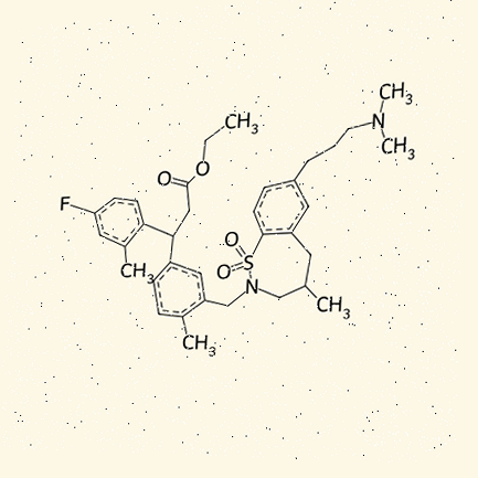 CCOC(=O)CC(c1ccc(C)c(CN2CC(C)Cc3cc(CCCN(C)C)ccc3S2(=O)=O)c1)c1ccc(F)cc1C